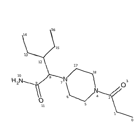 CCC(=O)N1CCN(C(C(N)=O)C(CC)CC)CC1